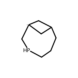 C1CPC[C]2CC(C1)C2